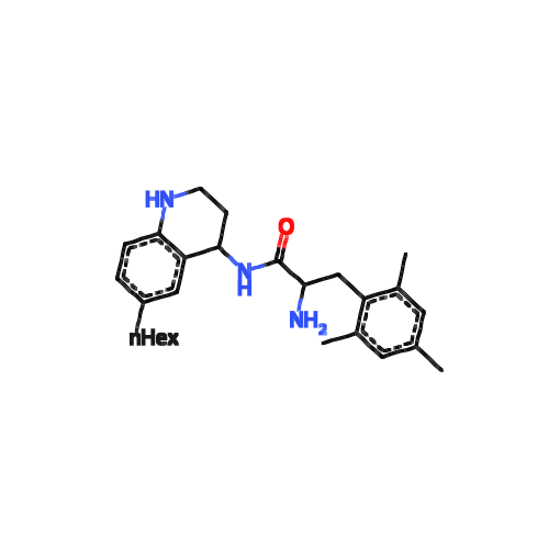 CCCCCCc1ccc2c(c1)C(NC(=O)C(N)Cc1c(C)cc(C)cc1C)CCN2